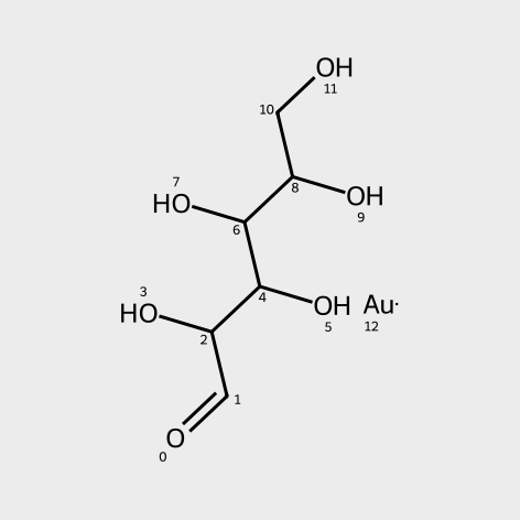 O=CC(O)C(O)C(O)C(O)CO.[Au]